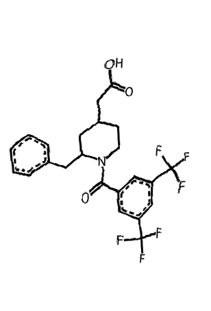 O=C(O)CC1CCN(C(=O)c2cc(C(F)(F)F)cc(C(F)(F)F)c2)C(Cc2ccccc2)C1